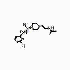 CC(C)NCCN1CCN(/[N+]([O-])=N/Oc2ccnc(Cl)n2)CC1